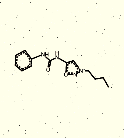 CCCC[n+]1cc(NC(=O)Nc2ccccc2)on1